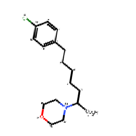 O=C(O)C(CCCCCc1ccc(Cl)cc1)N1CCOCC1